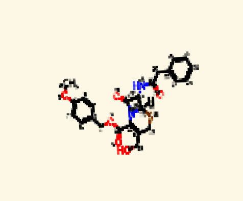 COc1ccc(COC(=O)C2=C(CO)CS[C@H]3[C@@H](NC(=O)Cc4ccccc4)C(=O)N23)cc1